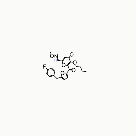 CCCCOc1c(C(=O)c2ccc(Cc3ccc(F)cc3)o2)oc(/C=N/OC)cc1=O